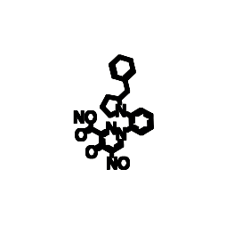 O=NC(=O)c1nn(-c2ccccc2N2CCCC2CC2=CCCC=C2)cc(N=O)c1=O